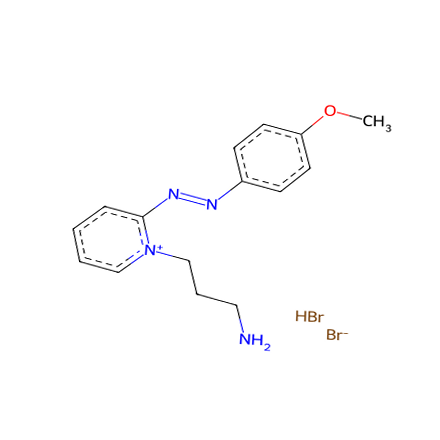 Br.COc1ccc(/N=N/c2cccc[n+]2CCCN)cc1.[Br-]